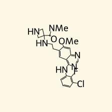 CNC(=O)C1(NCCc2cc3c(Nc4cccc(Cl)c4F)ncnc3cc2OC)CNC1